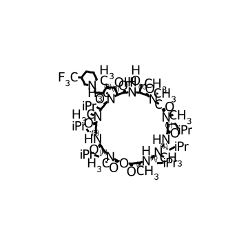 CC(C)C[C@@H]1C(=O)N[C@H](CC(C)C)C(=O)N(C)C(C(C)C)C(=O)N(C)C([C@H](O)[C@H](C)CCN2CCCC(C(F)(F)F)C2)C(=O)NC([C@@H](C)O)C(=O)N(C)CC(=O)N(C)[C@@H](CC(C)C)C(=O)N[C@H](CC(C)C)N(C)[C@H](CC(C)C)N[C@H](C)C(=O)OC(=O)N1C